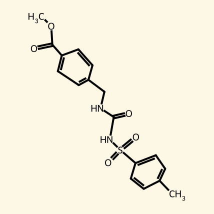 COC(=O)c1ccc(CNC(=O)NS(=O)(=O)c2ccc(C)cc2)cc1